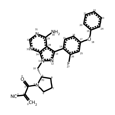 C=C(C#N)C(=O)N1CCC[C@H]1Cn1nc(-c2ccc(Oc3ccccc3)cc2F)c2c(N)ncnc21